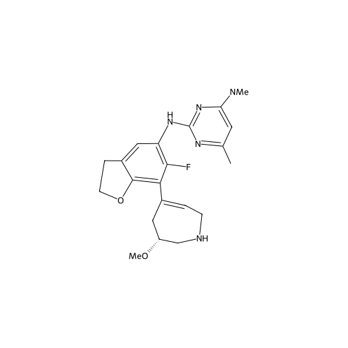 CNc1cc(C)nc(Nc2cc3c(c(C4=CCNC[C@H](OC)C4)c2F)OCC3)n1